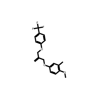 C=C(COc1ccc(C(F)(F)F)cc1)COc1ccc(OC)c(C)c1